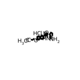 CCCCCCOc1ccc2cc(-c3noc([C@@H]4CCCN4C(=N)N)n3)ccc2c1.Cl